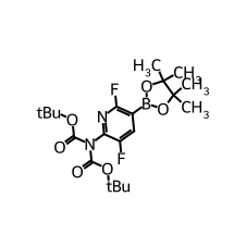 CC(C)(C)OC(=O)N(C(=O)OC(C)(C)C)c1nc(F)c(B2OC(C)(C)C(C)(C)O2)cc1F